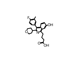 Cc1cc(-c2c(C3CCOCC3)nc(CCCC(=O)O)c3cc(O)ccc23)ccc1F